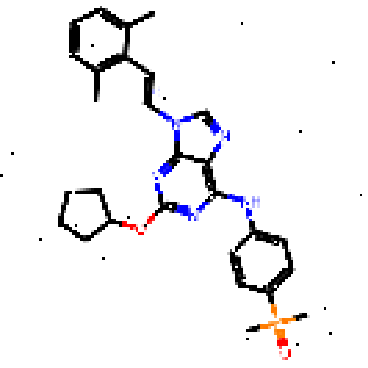 Cc1cccc(C)c1/C=C/n1cnc2c(Nc3ccc(P(C)(C)=O)cc3)nc(OC3CCCC3)nc21